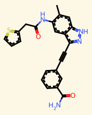 Cc1cc2[nH]nc(C#Cc3cccc(C(N)=O)c3)c2cc1NC(=O)Cc1cccs1